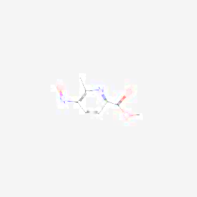 COC(=O)c1ccc(N=O)c(C)n1